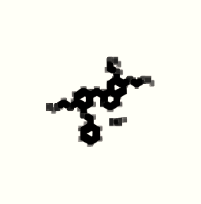 CCOc1cc2c(cc1OCC)C(Cc1ccc(OCC)c(OCc3ccccc3)c1)=NCC2.Cl